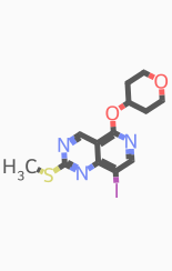 CSc1ncc2c(OC3CCOCC3)ncc(I)c2n1